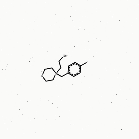 OCC[N+]1(Cc2ccc(I)cc2)CCOCC1